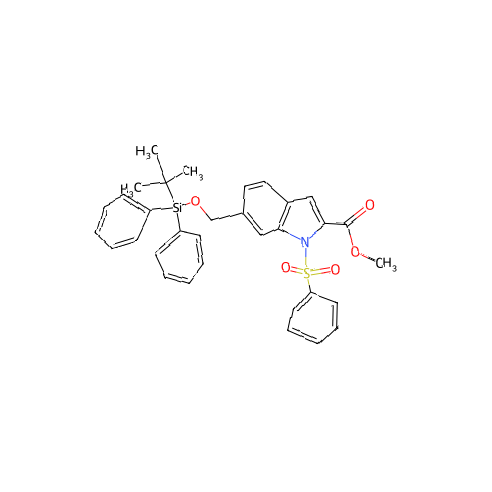 COC(=O)c1cc2ccc(CO[Si](c3ccccc3)(c3ccccc3)C(C)(C)C)cc2n1S(=O)(=O)c1ccccc1